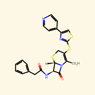 O=C(Cc1ccccc1)N[C@@H]1C(=O)N2C(C(=O)O)=C(Sc3nc(-c4ccncc4)cs3)CS[C@@H]12